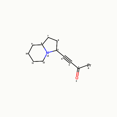 CC(C)C(=O)C#CC1CCC2CCCCN12